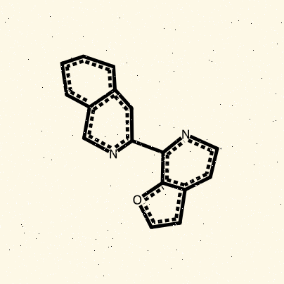 [c]1cc2ccoc2c(-c2cc3ccccc3cn2)n1